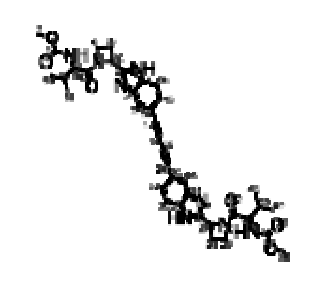 COC(=O)N[C@@H](C(=O)N1CC[C@H]1c1nc2cc(C#CC#Cc3ccc4[nH]c([C@@H]5CCN5C(=O)[C@H](NC(=O)OC)C(C)C)nc4c3)ccc2[nH]1)C(C)C